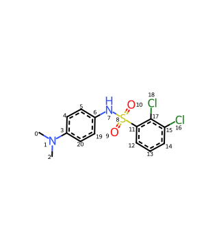 CN(C)c1ccc(NS(=O)(=O)c2cccc(Cl)c2Cl)cc1